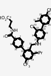 CCOC(=O)CCNC(=O)c1ccc(-c2cc(C(F)(F)F)cc(C(C)C)c2CNc2ccc(-c3ccc(C(F)(F)F)cc3C)c(Cl)c2)cc1